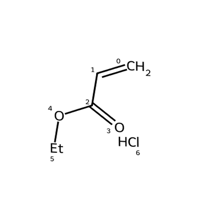 C=CC(=O)OCC.Cl